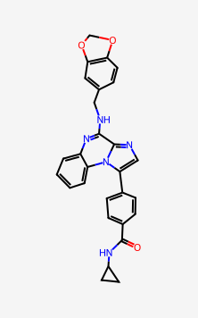 O=C(NC1CC1)c1ccc(-c2cnc3c(NCc4ccc5c(c4)OCO5)nc4ccccc4n23)cc1